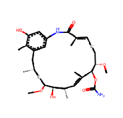 CO[C@H]1C[C@H](C)Cc2cc(cc(O)c2C)NC(=O)/C(C)=C/CC[C@H](OC)[C@@H](OC(N)=O)/C(C)=C/[C@H](C)[C@H]1O